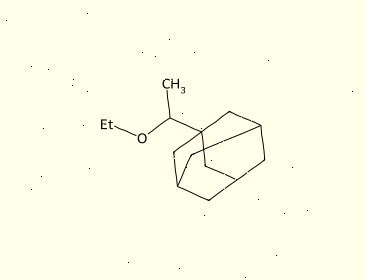 CCOC(C)C12CC3CC(CC(C3)C1)C2